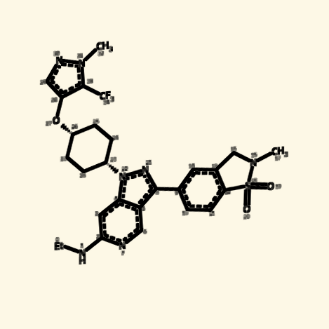 CCNc1cc2c(cn1)c(-c1ccc3c(c1)CN(C)S3(=O)=O)nn2[C@H]1CC[C@@H](Oc2cnn(C)c2C(F)(F)F)CC1